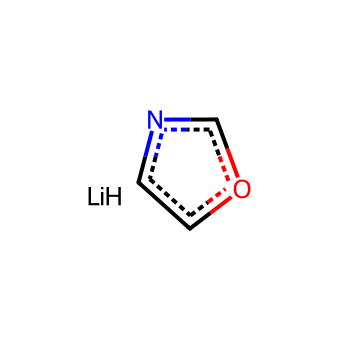 [LiH].c1cocn1